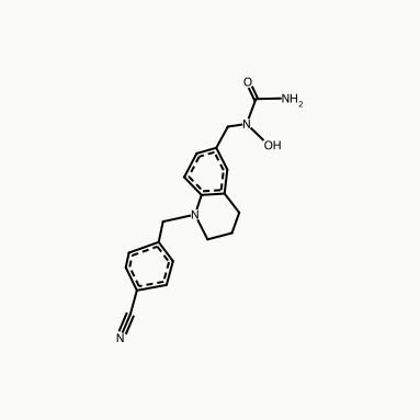 N#Cc1ccc(CN2CCCc3cc(CN(O)C(N)=O)ccc32)cc1